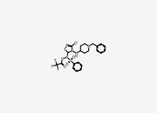 O=C(ON(C1SN=C(Cl)N1NC1CCN(Cc2ccccc2)CC1)S(=O)(=O)c1ccccc1)C(F)(F)F